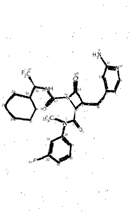 CN(C(=O)[C@@H]1C(Cc2ccnc(N)c2)C(=O)N1C(=O)N[C@@H](C1CCCCC1)C(F)(F)F)c1cccc(F)c1